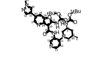 C[C@@H]1C[C@H](NC(=O)OC(C)(C)C)CN(c2ccncc2NC(=O)c2c(NC(=O)OC(C)(C)C)oc3cc(-c4cnn(C)c4)cnc23)C1